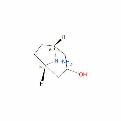 NN1[C@@H]2CC[C@H]1CC(O)C2